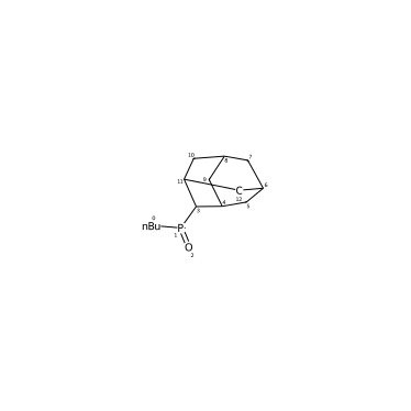 CCCC[P](=O)C1C2CC3CC(C2)CC1C3